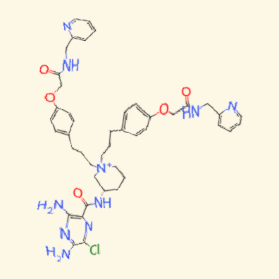 Nc1nc(N)c(C(=O)N[C@H]2CCC[N+](CCCc3ccc(OCC(=O)NCc4ccccn4)cc3)(CCCc3ccc(OCC(=O)NCc4ccccn4)cc3)C2)nc1Cl